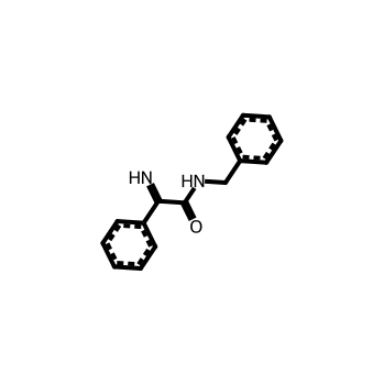 N=C(C(=O)NCc1ccccc1)c1ccccc1